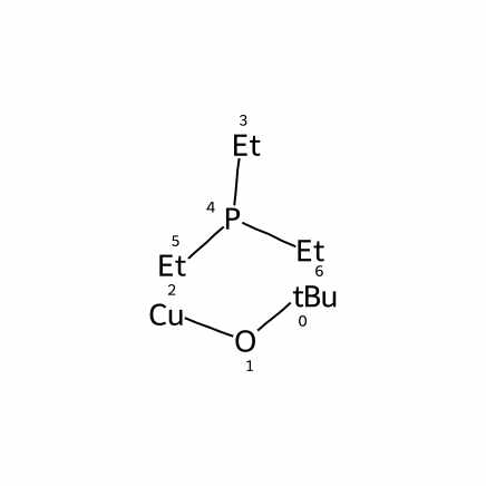 CC(C)(C)[O][Cu].CCP(CC)CC